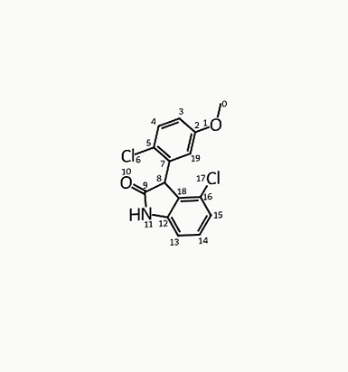 COc1ccc(Cl)c(C2C(=O)Nc3cccc(Cl)c32)c1